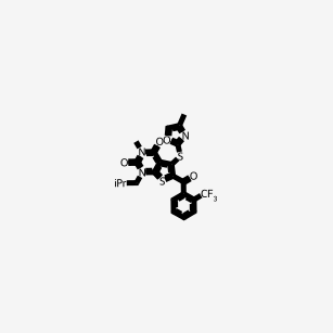 Cc1coc(Sc2c(C(=O)c3ccccc3C(F)(F)F)sc3c2c(=O)n(C)c(=O)n3CC(C)C)n1